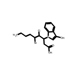 CCCCC(Br)C(Cl)C(CC(=O)O)n1cc(O)c2ccccc21